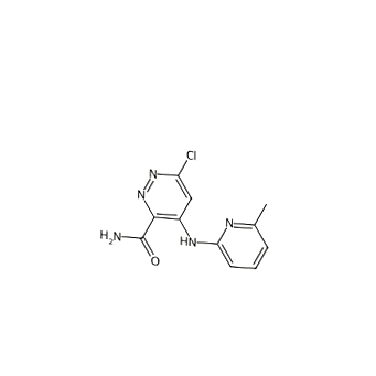 Cc1cccc(Nc2cc(Cl)nnc2C(N)=O)n1